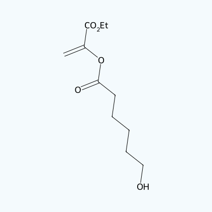 C=C(OC(=O)CCCCCO)C(=O)OCC